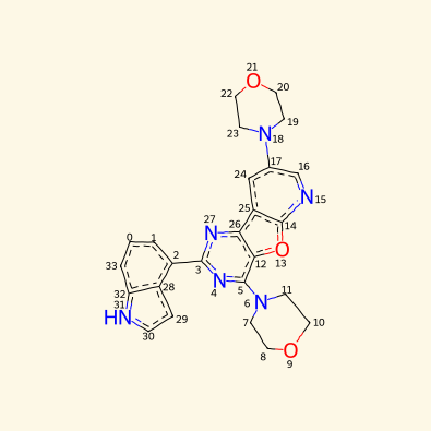 c1cc(-c2nc(N3CCOCC3)c3oc4ncc(N5CCOCC5)cc4c3n2)c2cc[nH]c2c1